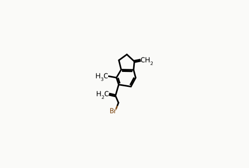 C=C(CBr)c1ccc2c(c1C)CCC2=C